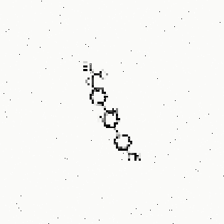 CCC(=O)Oc1ccc(-c2ncc(-c3ccc(C#N)cc3)cn2)cc1